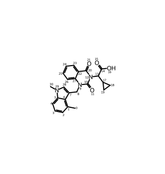 Cc1cccc2c1c(Cn1c(=O)n(C(C(=O)O)C3CC3)c(=O)c3ccccc31)cn2C